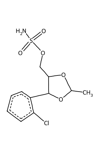 CC1OC(COS(N)(=O)=O)C(c2ccccc2Cl)O1